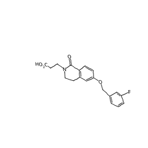 O=C(O)CCN1CCc2cc(OCc3cccc(F)c3)ccc2C1=O